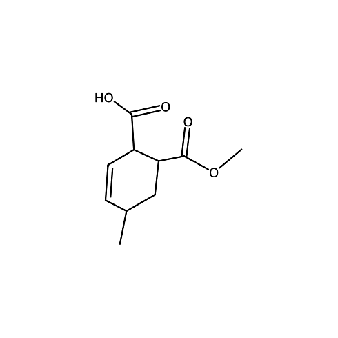 COC(=O)C1CC(C)C=CC1C(=O)O